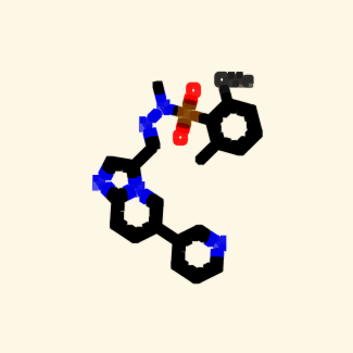 COc1cccc(C)c1S(=O)(=O)N(C)N=Cc1cnc2ccc(-c3cccnc3)cn12